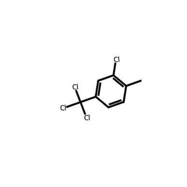 Cc1ccc(C(Cl)(Cl)Cl)cc1Cl